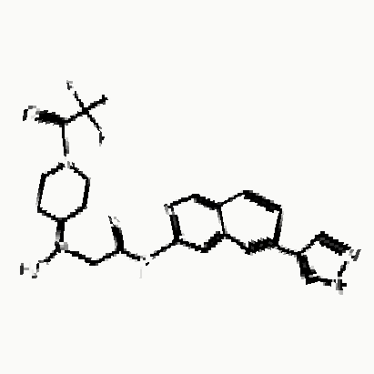 CN(CC(=O)Nc1cc2cc(-c3cn[nH]c3)ccc2cn1)C1CCN(C(=O)C(F)(F)F)CC1